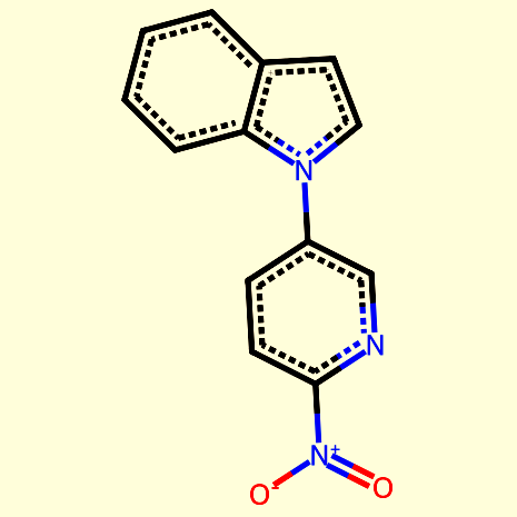 O=[N+]([O-])c1ccc(-n2ccc3ccccc32)cn1